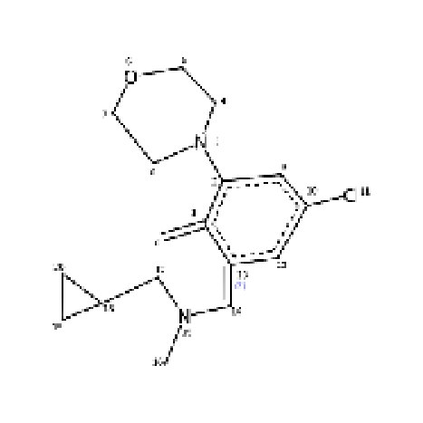 C=c1c(N2CCOCC2)cc(Cl)c/c1=C/N(C)CC1CC1